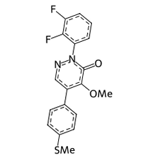 COc1c(-c2ccc(SC)cc2)cnn(-c2cccc(F)c2F)c1=O